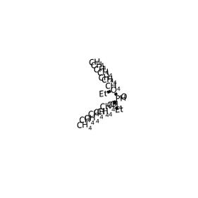 C.C.C.C.C.C.C.C.C.C.C.C.C.C.C.CCO[PH](=O)OCC